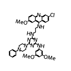 COc1cc(Nc2nc(NCCNc3c4ccc(Cl)cc4nc4ccc(OC)cc34)nc(N3CCN(c4ccccc4)CC3)n2)cc(OC)c1